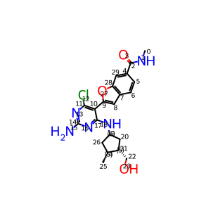 CNC(=O)c1ccc2cc(-c3c(Cl)nc(N)nc3N[C@@H]3C[C@H](CO)[C@@H](C)C3)oc2c1